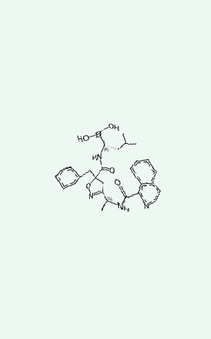 CC(C)C[C@H](NC(=O)C1(Cc2ccccc2)CC([C@H](C)NC(=O)c2nccc3ccccc23)=NO1)B(O)O